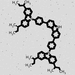 CCC(C)c1ccc2c(c1)c1cc(C(C)CC)ccc1n2-c1ccc(-c2ccc3[nH]c4ccc(-c5ccc(-n6c7ccc(C(C)CC)cc7c7cc([C@H](C)CC)ccc76)cc5)cc4c3c2)cc1